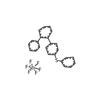 [F][Sb-]([F])([F])([F])([F])[F].c1ccc(Sc2ccc(-c3ccccc3-c3ccccc3)cc2)cc1